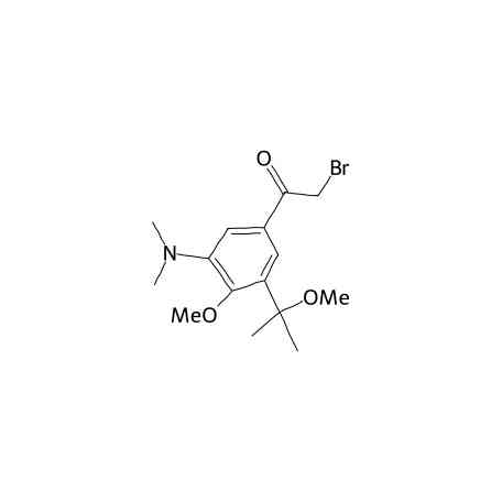 COc1c(N(C)C)cc(C(=O)CBr)cc1C(C)(C)OC